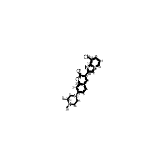 C[C@H]1CN(c2ccc3cc(-c4cn5cccc(Cl)c5n4)c(=O)oc3c2)CCN1C